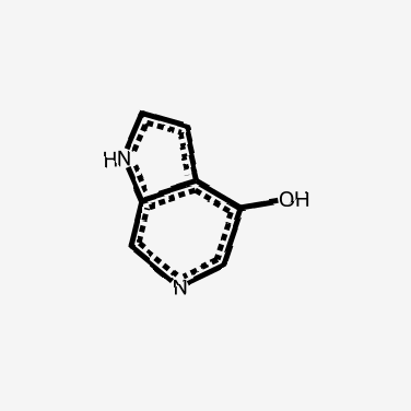 Oc1cncc2[nH]ccc12